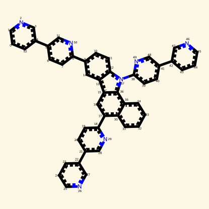 c1cncc(-c2ccc(-c3ccc4c(c3)c3cc(-c5ccc(-c6cccnc6)cn5)c5ccccc5c3n4-c3ccc(-c4cccnc4)cn3)nc2)c1